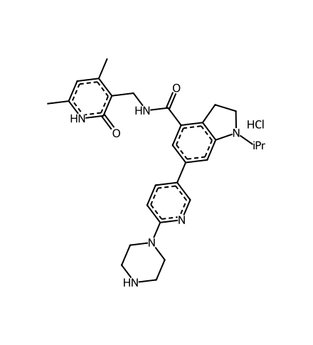 Cc1cc(C)c(CNC(=O)c2cc(-c3ccc(N4CCNCC4)nc3)cc3c2CCN3C(C)C)c(=O)[nH]1.Cl